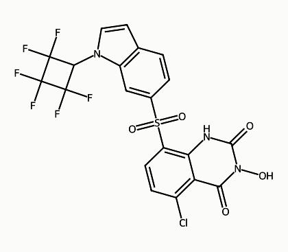 O=c1[nH]c2c(S(=O)(=O)c3ccc4ccn(C5C(F)(F)C(F)(F)C5(F)F)c4c3)ccc(Cl)c2c(=O)n1O